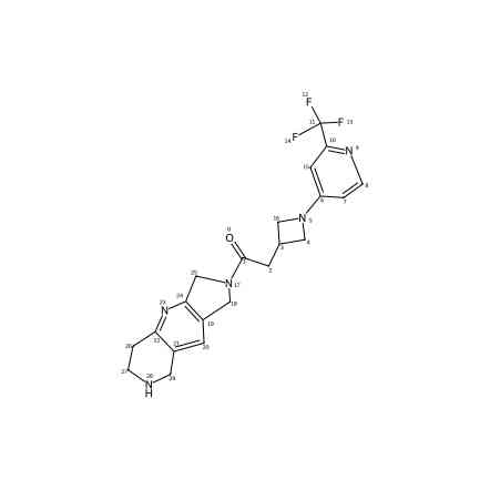 O=C(CC1CN(c2ccnc(C(F)(F)F)c2)C1)N1Cc2cc3c(nc2C1)CCNC3